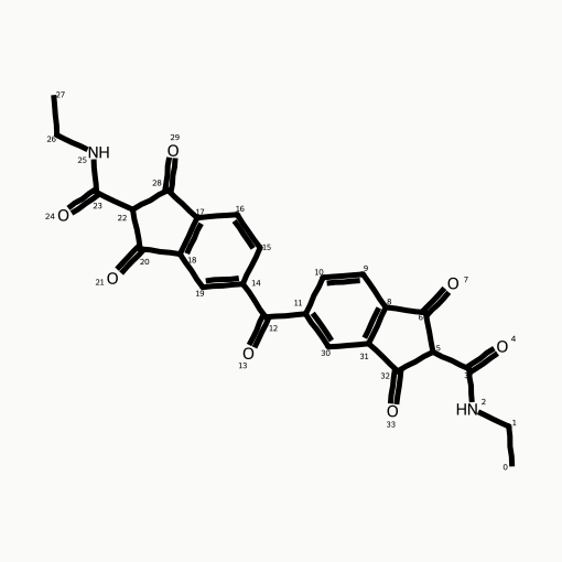 CCNC(=O)C1C(=O)c2ccc(C(=O)c3ccc4c(c3)C(=O)C(C(=O)NCC)C4=O)cc2C1=O